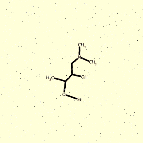 CCOC(C)C(O)CN(C)C